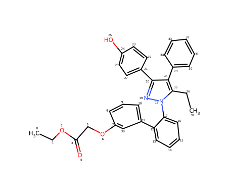 CCOC(=O)COc1cccc(-c2ccccc2-n2nc(-c3ccc(O)cc3)c(-c3ccccc3)c2CC)c1